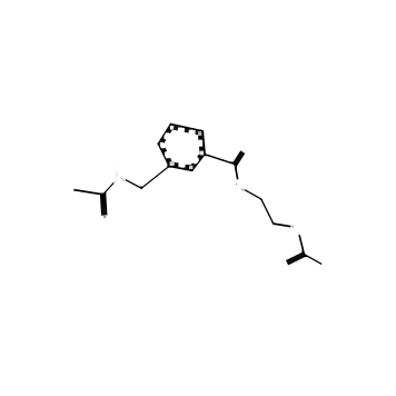 CC(=O)NCc1cccc(C(=O)NCCOC(C)=O)c1